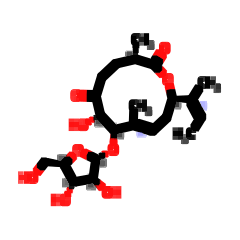 C/C=C(/C)[C@H]1C/C=C(\C)[C@@H](O[C@H]2O[C@H](CO)[C@@H](O)[C@@H]2O)[C@H](O)C(=O)CC[C@H](C)C(=O)O1